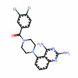 Nc1nc(N)c2c(N3CCN(C(=O)c4ccc(Cl)c(Cl)c4)CC3)cccc2n1